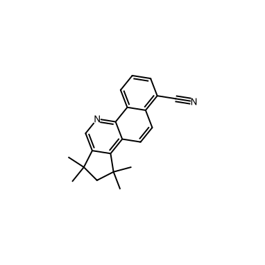 CC1(C)CC(C)(C)c2c1cnc1c2ccc2c(C#N)cccc21